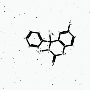 CN1C(=S)Nc2ccc(Cl)cc2C1(C)c1ccccc1